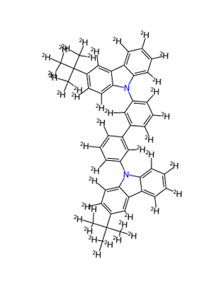 [2H]c1c([2H])c(-c2c([2H])c([2H])c([2H])c(-n3c4c([2H])c([2H])c([2H])c([2H])c4c4c([2H])c(C(C([2H])([2H])[2H])(C([2H])([2H])[2H])C([2H])([2H])[2H])c([2H])c([2H])c43)c2[2H])c([2H])c(-n2c3c([2H])c([2H])c([2H])c([2H])c3c3c([2H])c(C(C([2H])([2H])[2H])(C([2H])([2H])[2H])C([2H])([2H])[2H])c([2H])c([2H])c32)c1[2H]